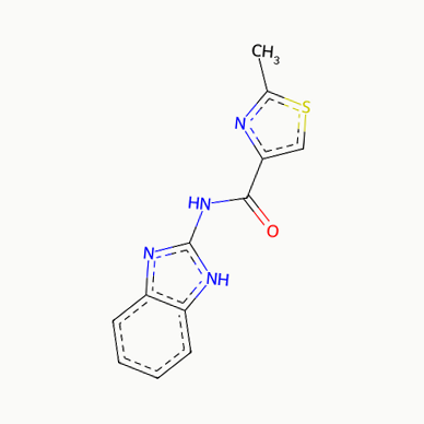 Cc1nc(C(=O)Nc2nc3ccccc3[nH]2)cs1